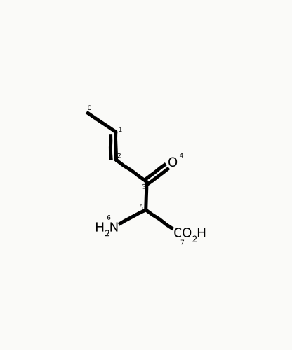 CC=CC(=O)C(N)C(=O)O